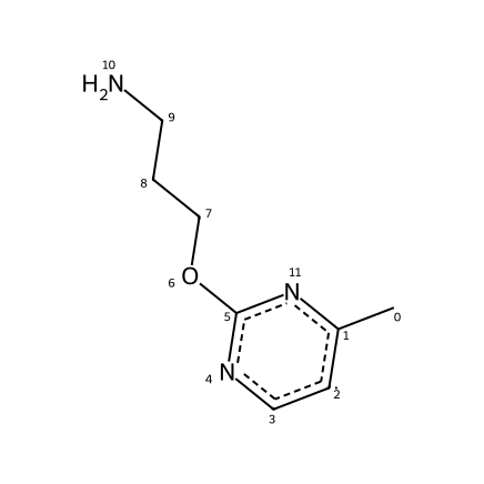 Cc1[c]cnc(OCCCN)n1